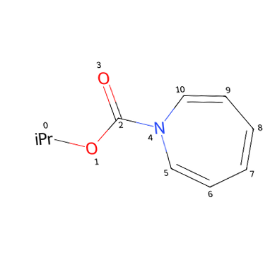 CC(C)OC(=O)N1C=CC=CC=C1